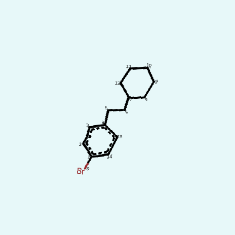 Brc1ccc(CCC2CC[CH]CC2)cc1